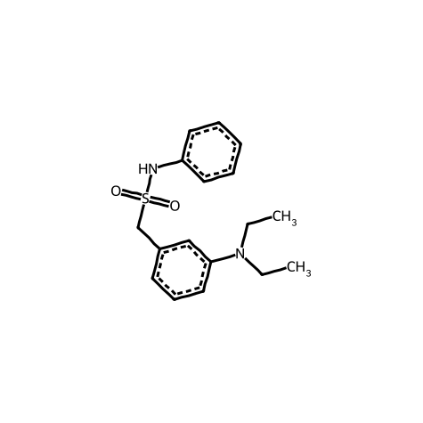 CCN(CC)c1cccc(CS(=O)(=O)Nc2ccccc2)c1